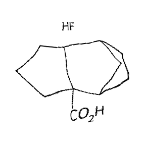 F.O=C(O)C12CCCC1C1CCC2C1